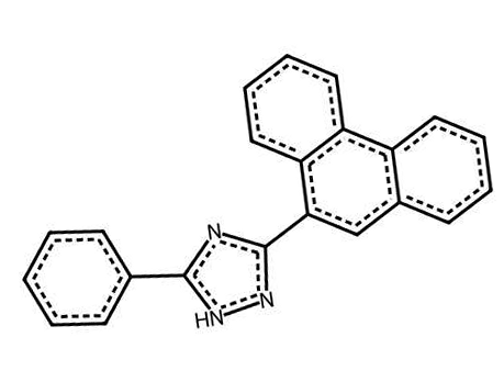 c1ccc(-c2nc(-c3cc4ccccc4c4ccccc34)n[nH]2)cc1